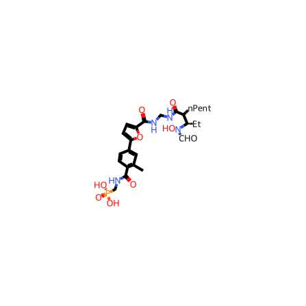 CCCCCC(C(=O)NCNC(=O)c1ccc(-c2ccc(C(=O)NCP(=O)(O)O)c(C)c2)o1)[C@@H](CC)N(O)C=O